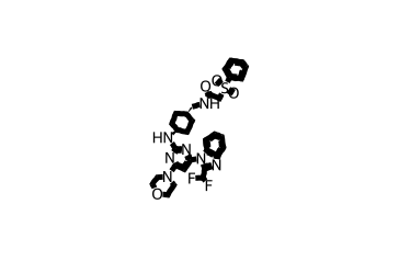 O=C(CS(=O)(=O)c1ccccc1)NC[C@H]1CC[C@H](Nc2nc(N3CCOCC3)cc(-n3c(C(F)F)nc4ccccc43)n2)CC1